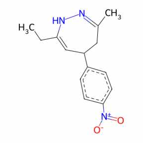 CCC1=CC(c2ccc([N+](=O)[O-])cc2)CC(C)=NN1